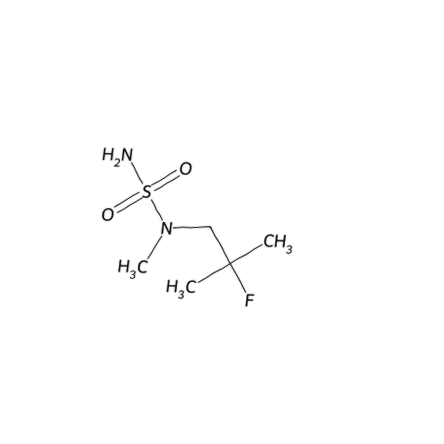 CN(CC(C)(C)F)S(N)(=O)=O